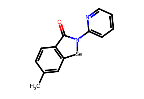 Cc1ccc2c(=O)n(-c3ccccn3)[se]c2c1